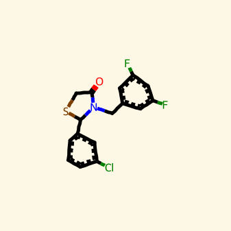 O=C1CSC(c2cccc(Cl)c2)N1Cc1cc(F)cc(F)c1